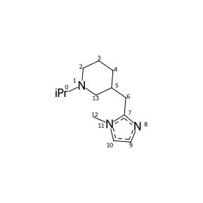 CC(C)N1CCCC(Cc2nccn2C)C1